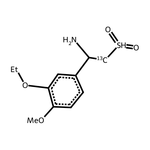 CCOc1cc(C(N)[13CH2][SH](=O)=O)ccc1OC